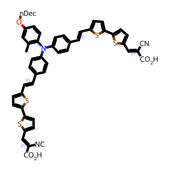 [C-]#[N+]/C(=C\c1ccc(-c2ccc(/C=C/c3ccc(N(c4ccc(/C=C/c5ccc(-c6ccc(/C=C(\C#N)C(=O)O)s6)s5)cc4)c4ccc(OCCCCCCCCCC)cc4C)cc3)s2)s1)C(=O)O